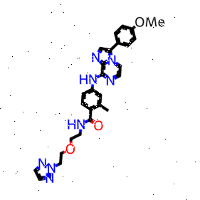 COc1ccc(-c2cnc3c(Nc4ccc(C(=O)NCCOCCn5nccn5)c(C)c4)nccn23)cc1